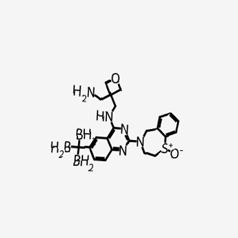 BC(B)(B)c1ccc2nc(N3CC[S+]([O-])c4ccccc4C3)nc(NCC3(CN)COC3)c2c1